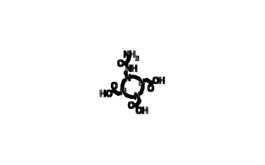 NCC(=O)NCN1CCN(CC(=O)O)CCN(CC(=O)O)CCN(CC(=O)O)CC1